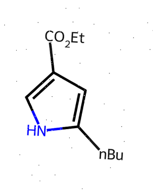 CCCCc1cc(C(=O)OCC)c[nH]1